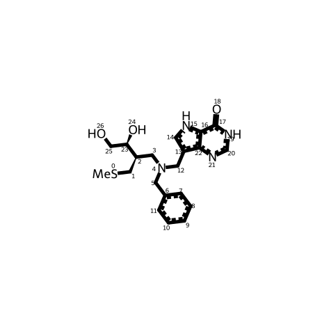 CSC[C@H](CN(Cc1ccccc1)Cc1c[nH]c2c(=O)[nH]cnc12)[C@H](O)CO